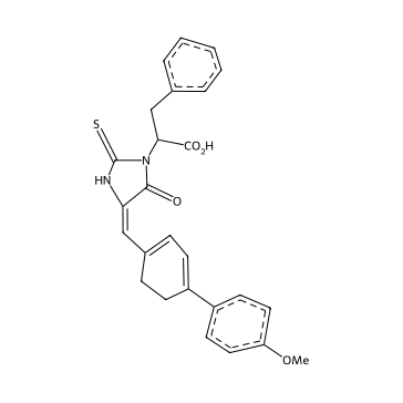 COc1ccc(C2=CC=C(/C=C3/NC(=S)N(C(Cc4ccccc4)C(=O)O)C3=O)CC2)cc1